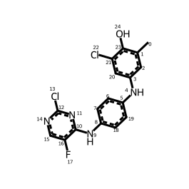 Cc1cc(Nc2ccc(Nc3nc(Cl)ncc3F)cc2)cc(Cl)c1O